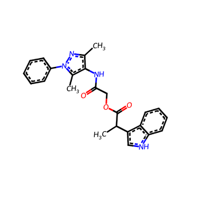 Cc1nn(-c2ccccc2)c(C)c1NC(=O)COC(=O)C(C)c1c[nH]c2ccccc12